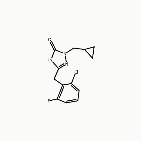 O=c1[nH]c(Cc2c(F)cccc2Cl)nn1CC1CC1